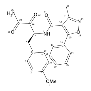 COc1ccc(C[C@H](NC(=O)c2c(C)noc2-c2ccccc2)C(=O)C(N)=O)cc1